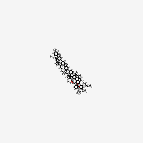 CC#CC12CCC(CCCCCC)(CC1)C21c2cc3c(cc2-c2cc4c(cc21)-c1ccc(-c2ccc5c(c2)sc2cc6c(cc25)C2(c5cc7c(cc5-6)sc5cc(C)ccc57)C5(C#CC)CCC2(CCCCCC)CC5)cc1C41C2(CCC)CCC1(CCC)CC2)C1(c2cc(C)ccc2-3)C2(CCC)CCC1(CCC)CC2